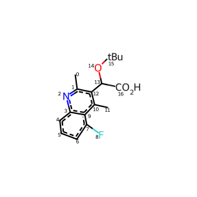 Cc1nc2cccc(F)c2c(C)c1C(OC(C)(C)C)C(=O)O